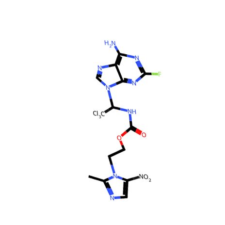 Cc1ncc([N+](=O)[O-])n1CCOC(=O)NC(n1cnc2c(N)nc(F)nc21)C(Cl)(Cl)Cl